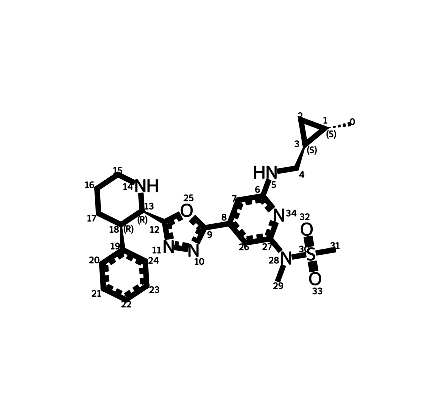 C[C@H]1C[C@@H]1CNc1cc(-c2nnc([C@@H]3NCCC[C@@H]3c3ccccc3)o2)cc(N(C)S(C)(=O)=O)n1